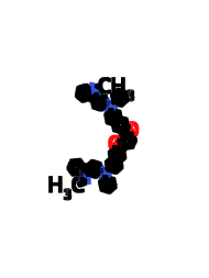 CCn1c2ccccc2c2ccc(N(c3ccccc3)c3ccc4cc5c(cc4c3)oc3c5ccc4oc5cc6cc(N(c7ccccc7)c7ccc8c9ccccc9n(CC)c8c7)ccc6cc5c43)cc21